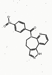 O=C(c1ccc([N+](=O)[O-])cc1)N1CCc2cn[nH]c2-c2cccnc21